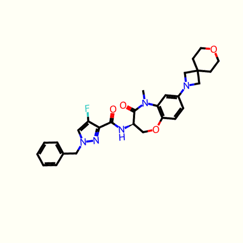 CN1C(=O)[C@H](NC(=O)c2nn(Cc3ccccc3)cc2F)COc2ccc(N3CC4(CCOCC4)C3)cc21